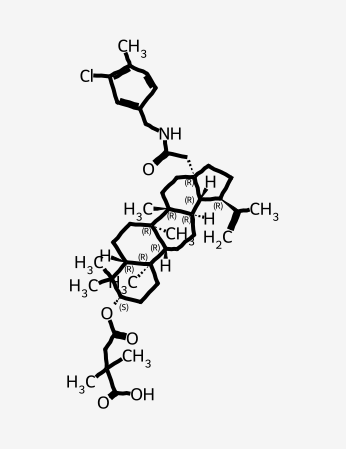 C=C(C)[C@@H]1CC[C@]2(CC(=O)NCc3ccc(C)c(Cl)c3)CC[C@]3(C)[C@H](CC[C@@H]4[C@@]5(C)CC[C@H](OC(=O)CC(C)(C)C(=O)O)C(C)(C)[C@@H]5CC[C@]43C)[C@@H]12